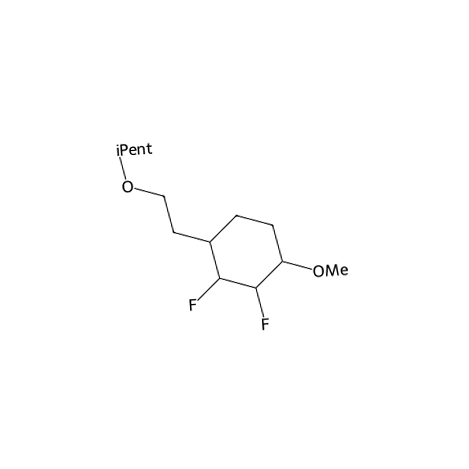 CCCC(C)OCCC1CCC(OC)C(F)C1F